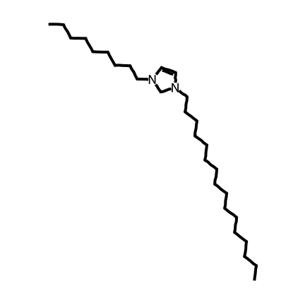 CCCCCCCCCCCCCCCCN1C=CN(CCCCCCCCC)C1